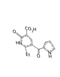 CCc1[nH]c(=O)c(C(=O)O)cc1C(=O)c1ccc[nH]1